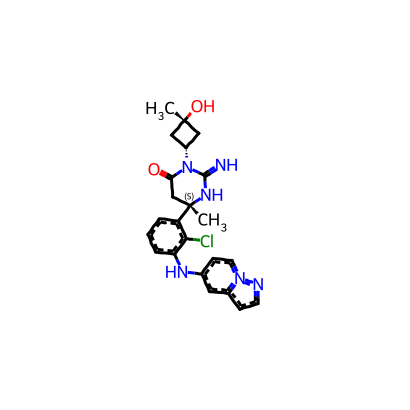 C[C@@]1(c2cccc(Nc3ccn4nccc4c3)c2Cl)CC(=O)N([C@H]2C[C@@](C)(O)C2)C(=N)N1